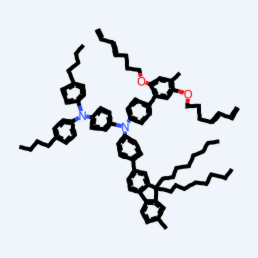 C=C/C=C/CCCOc1cc(-c2ccc(N(c3ccc(-c4ccc5c(c4)C(CCCCCCCC)(CCCCCCCC)c4cc(C)ccc4-5)cc3)c3ccc(N(c4ccc(CCCC)cc4)c4ccc(CCCC)cc4)cc3)cc2)c(OCCC/C=C/C=C)cc1C